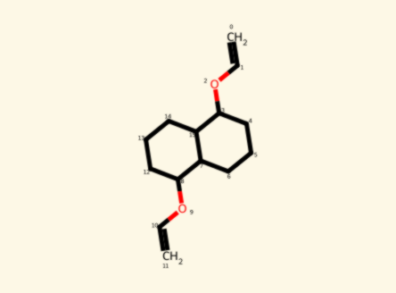 C=COC1CCCC2C(OC=C)CCCC12